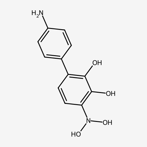 Nc1ccc(-c2ccc(N(O)O)c(O)c2O)cc1